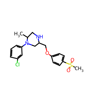 CC1CNC(COc2ccc(S(C)(=O)=O)cc2)CN1c1cccc(Cl)c1